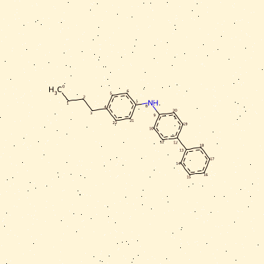 CCCCc1ccc(Nc2ccc(-c3ccccc3)cc2)cc1